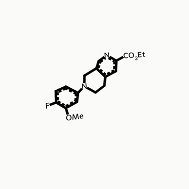 CCOC(=O)c1cc2c(cn1)CN(c1ccc(F)c(OC)c1)CC2